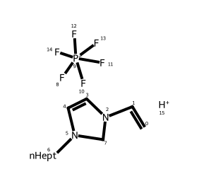 C=CN1C=CN(CCCCCCC)C1.F[P-](F)(F)(F)(F)F.[H+]